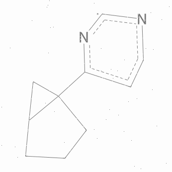 [c]1nccc(C23CCCC2C3)n1